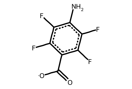 Nc1c(F)c(F)c(C([O])=O)c(F)c1F